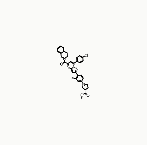 COC(=O)[C@H]1CCN(c2ccc(-c3cc4nc(C(=O)N5CCc6ccccc6[C@H]5C)cc(-c5ccc(Cl)cc5)n4n3)c(F)c2)C1